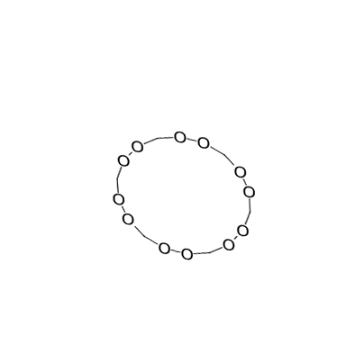 C1OOCOOCOOCOOCOOCOO1